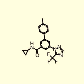 Cc1ccc(-c2cc(C(=O)NC3CC3)cc(-n3ncnc3C(F)(F)F)c2)cc1